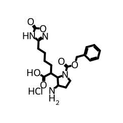 Cl.NC1CCN(C(=O)OCc2ccccc2)C1C(CCCCc1noc(=O)[nH]1)C(=O)O